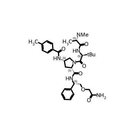 CN[C@@H](C)C(=O)N[C@H](C(=O)N1C[C@@H](NC(=O)c2ccc(C)cc2)C[C@H]1C(=O)N[C@H](COCC(N)=O)c1ccccc1)C(C)(C)C